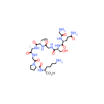 CC(C)C[C@H](NC(=O)CNC(=O)[C@H](CO)NC(=O)[C@H](CCC(N)=O)NC(=O)CN)C(=O)N[C@@H](C)C(=O)NCC(=O)N1CCC[C@H]1C(=O)N[C@@H](CCCCN)C(=O)O